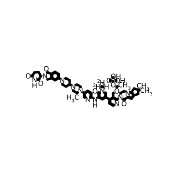 [2H]C([2H])([2H])n1cc(-c2ccnc(N3CCn4c(cc5c4CC(C)(C)C5)C3=O)c2COC(C)OP(=O)(O)O)cc(Nc2ccc(N3CCN(C4CCN(c5ccc6c(c5)CN([C@H]5CCC(=O)NC5=O)C6=O)CC4)C[C@@H]3C)cn2)c1=O